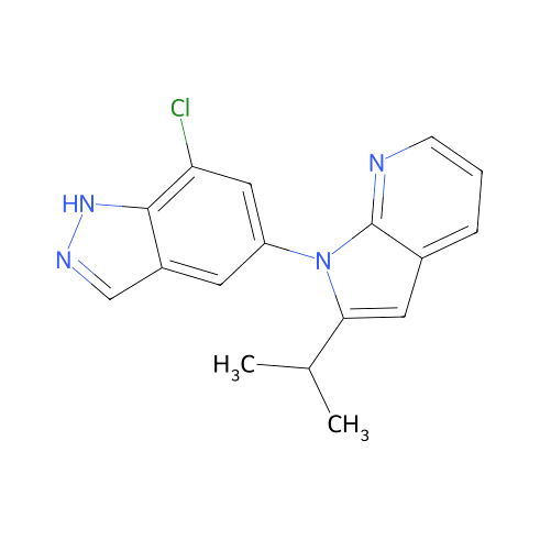 CC(C)c1cc2cccnc2n1-c1cc(Cl)c2[nH]ncc2c1